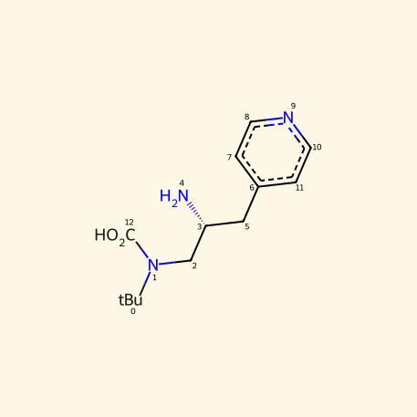 CC(C)(C)N(C[C@H](N)Cc1ccncc1)C(=O)O